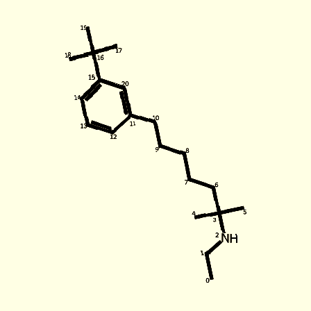 CCNC(C)(C)CCCCCc1cccc(C(C)(C)C)c1